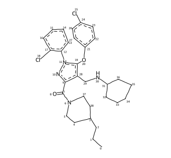 CCCC1CCN(C(=O)c2nn(-c3ccccc3Cl)c(Oc3ccc(Cl)cc3)c2CNC2CCCCC2)CC1